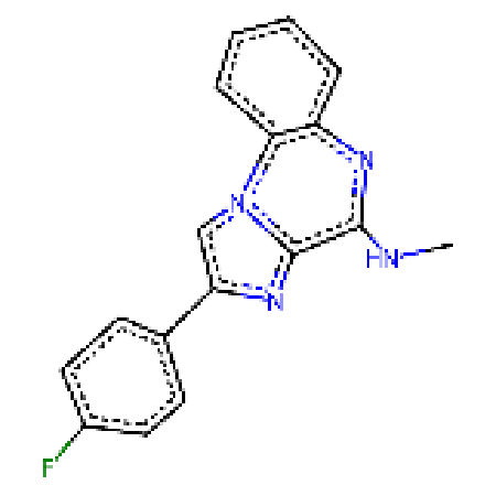 CNc1nc2ccccc2n2cc(-c3ccc(F)cc3)nc12